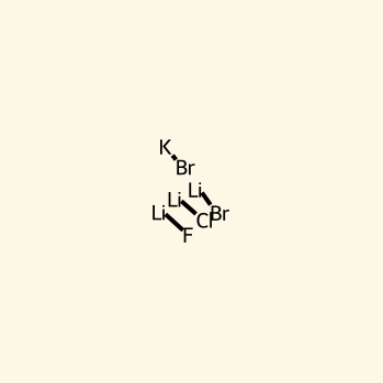 [K][Br].[Li][Br].[Li][Cl].[Li][F]